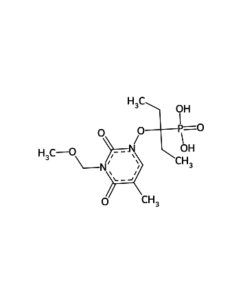 CCC(CC)(On1cc(C)c(=O)n(COC)c1=O)P(=O)(O)O